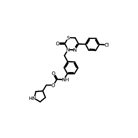 O=C(Nc1cccc(CN2N=C(c3ccc(Cl)cc3)CSC2=O)c1)OCC1CCNC1